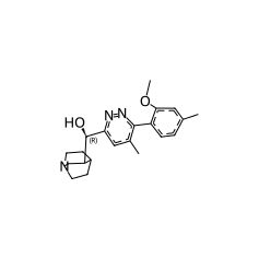 COc1cc(C)ccc1-c1nnc([C@H](O)C2CN3CCC2CC3)cc1C